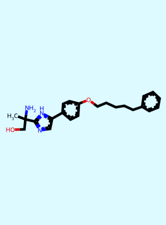 CC(N)(CO)c1ncc(-c2ccc(OCCCCCc3ccccc3)cc2)[nH]1